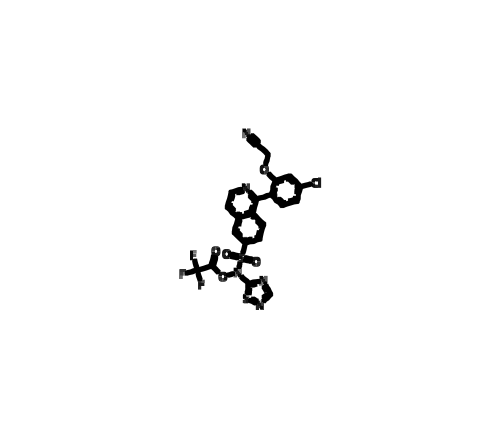 N#CCOc1cc(Cl)ccc1-c1nccc2cc(S(=O)(=O)N(OC(=O)C(F)(F)F)c3ncns3)ccc12